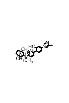 CN(c1ccc(-c2ccc(-n3cnc(F)c3)cc2O)nn1)C1C[C@]2(C)CC[C@](C)(C1)N2